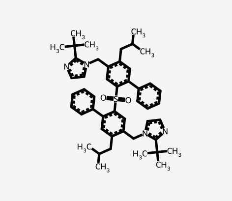 CC(C)Cc1cc(-c2ccccc2)c(S(=O)(=O)c2cc(Cn3ccnc3C(C)(C)C)c(CC(C)C)cc2-c2ccccc2)cc1Cn1ccnc1C(C)(C)C